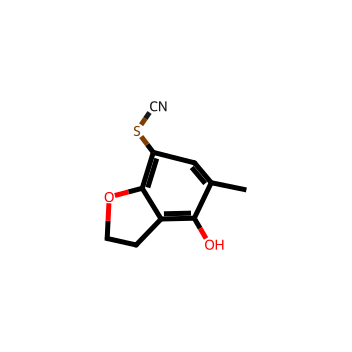 Cc1cc(SC#N)c2c(c1O)CCO2